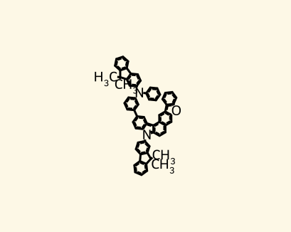 CC1(C)c2ccccc2-c2ccc(N(c3ccccc3)c3cccc(-c4ccc5c(c4)c4c6cc7c(cc6ccc4n5-c4ccc5c(c4)C(C)(C)c4ccccc4-5)oc4ccccc47)c3)cc21